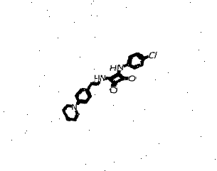 O=c1c(NCCc2ccc(N3CCCCC3)cc2)c(Nc2ccc(Cl)cc2)c1=O